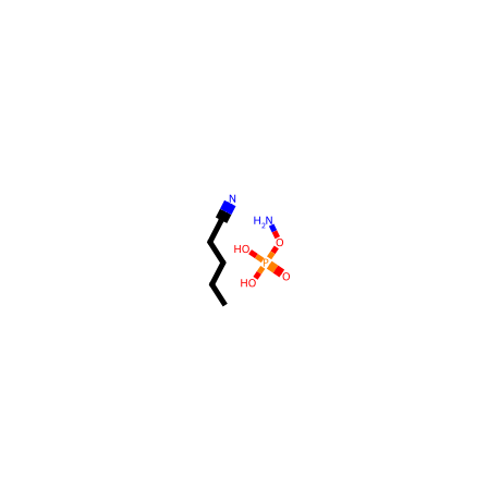 CCCCC#N.NOP(=O)(O)O